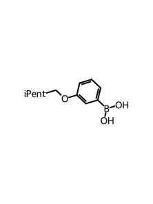 CCCC(C)COc1cccc(B(O)O)c1